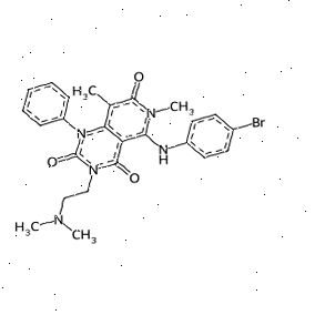 Cc1c(=O)n(C)c(Nc2ccc(Br)cc2)c2c(=O)n(CCN(C)C)c(=O)n(-c3ccccc3)c12